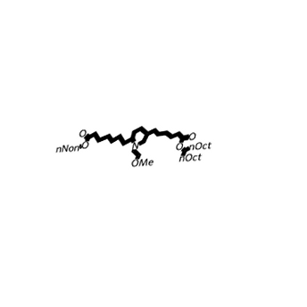 CCCCCCCCCOC(=O)CCCCCCC1CCC(CCCCCC(=O)OC(CCCCCCCC)CCCCCCCC)CN1CCOC